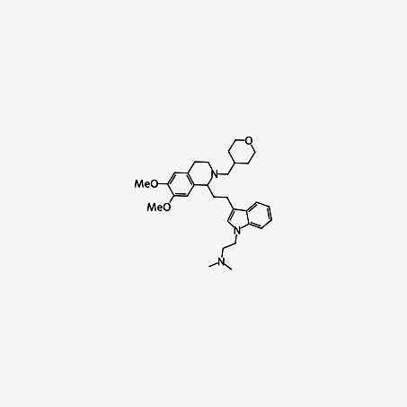 COc1cc2c(cc1OC)C(CCc1cn(CCN(C)C)c3ccccc13)N(CC1CCOCC1)CC2